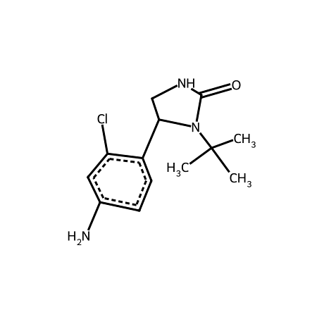 CC(C)(C)N1C(=O)NCC1c1ccc(N)cc1Cl